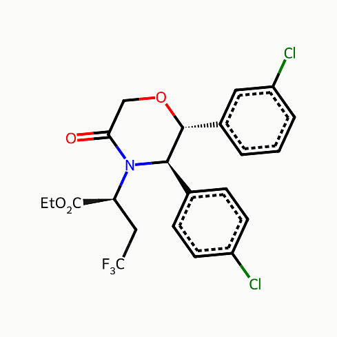 CCOC(=O)[C@H](CC(F)(F)F)N1C(=O)CO[C@H](c2cccc(Cl)c2)[C@H]1c1ccc(Cl)cc1